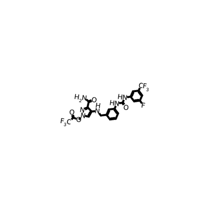 NC(=O)c1nn(OC(=O)C(F)(F)F)cc1NCc1cccc(NC(=O)Nc2cc(F)cc(C(F)(F)F)c2)c1